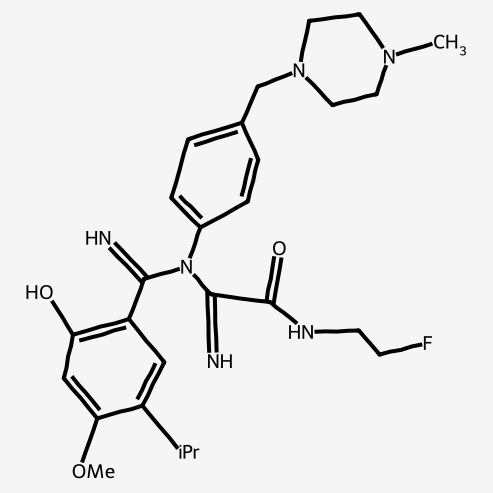 COc1cc(O)c(C(=N)N(C(=N)C(=O)NCCF)c2ccc(CN3CCN(C)CC3)cc2)cc1C(C)C